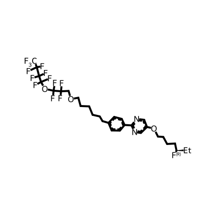 CC[C@@H](F)CCCCOc1cnc(-c2ccc(CCCCCCOCC(F)(F)C(F)(F)OC(F)(F)C(F)(F)C(F)(F)C(F)(F)F)cc2)nc1